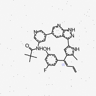 C=C/C=C(/c1cc(O)cc(F)c1)c1cc(-c2n[nH]c3ncc(-c4cncc(NC(=O)C(C)(C)C)c4)cc23)[nH]c1C